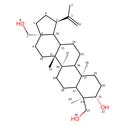 C=C(C)[C@@H]1CC[C@]2(CO)CC[C@]3(C)C(CCC4[C@@]5(C)CC[C@H](O)[C@@](C)(CO)C5CC[C@]43C)C12